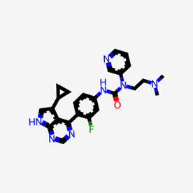 CN(C)CCN(C(=O)Nc1ccc(-c2ncnc3[nH]cc(C4CC4)c23)c(F)c1)c1cccnc1